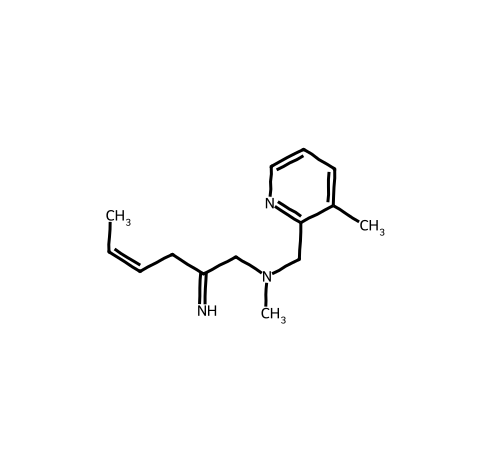 C/C=C\CC(=N)CN(C)Cc1ncccc1C